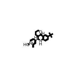 C=C/C=C(\C=C/NO)[C@@H]1Nc2ccc(C(C)(C)C)cc2[C@H]2OCCC[C@H]21